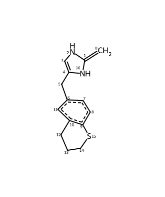 C=C1NC=C(Cc2ccc3c(c2)CCCS3)N1